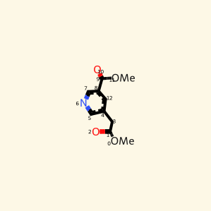 COC(=O)Cc1cncc(C(=O)OC)c1